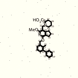 COc1nc(OCc2cccc(-c3ccccc3)c2C)c2c(c1CN1CCCC[C@H]1C(=O)O)CCC2